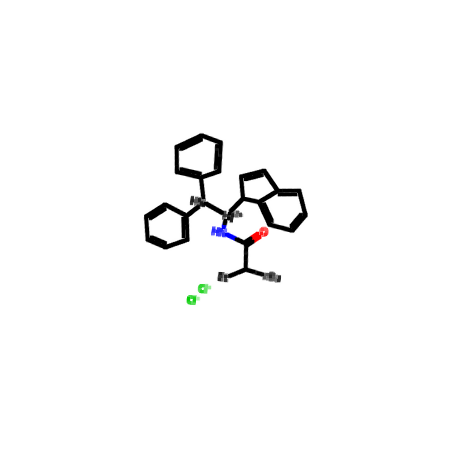 CCCCC(CC)C(=O)[NH][Hf+2]([CH]1C=Cc2ccccc21)[SiH](c1ccccc1)c1ccccc1.[Cl-].[Cl-]